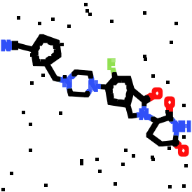 N#Cc1cccc(CN2CCN(c3cc4c(cc3F)C(=O)N(C3CCC(=O)NC3=O)C4)CC2)c1